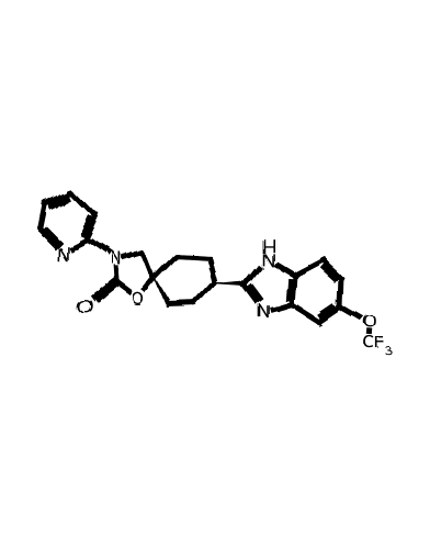 O=C1O[C@]2(CC[C@H](c3nc4cc(OC(F)(F)F)ccc4[nH]3)CC2)CN1c1ccccn1